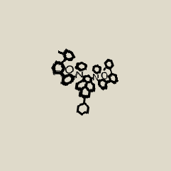 Cc1ccccc1-c1cccc2c1oc1c(N(c3ccccc3)c3cc(N(c4ccccc4)c4cccc5c4oc4c(-c6ccccc6C)cccc45)c4ccc5cc(C6CCCCC6)cc6ccc3c4c65)cccc12